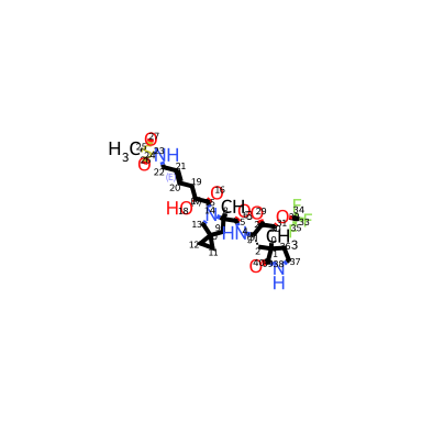 CC1(C[C@H](NC(=O)C2(C)CC3(CC3)CN2C(=O)[C@H](O)C/C=C/CNS(C)(=O)=O)C(=O)COC(F)(F)F)CCNC1=O